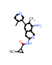 Cc1ccncc1-c1cc2cc(NC(=O)C3CC3C#N)ncc2c(N)c1C(F)(F)F